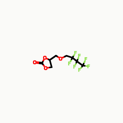 O=C1OCC(COCC(F)(F)C(F)(F)C(F)(F)F)O1